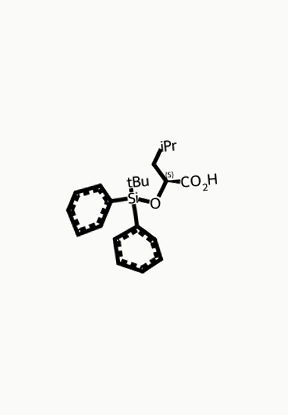 CC(C)C[C@H](O[Si](c1ccccc1)(c1ccccc1)C(C)(C)C)C(=O)O